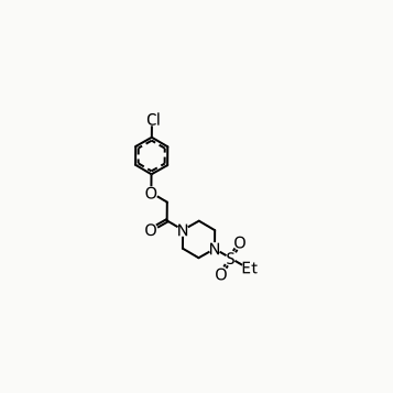 CCS(=O)(=O)N1CCN(C(=O)COc2ccc(Cl)cc2)CC1